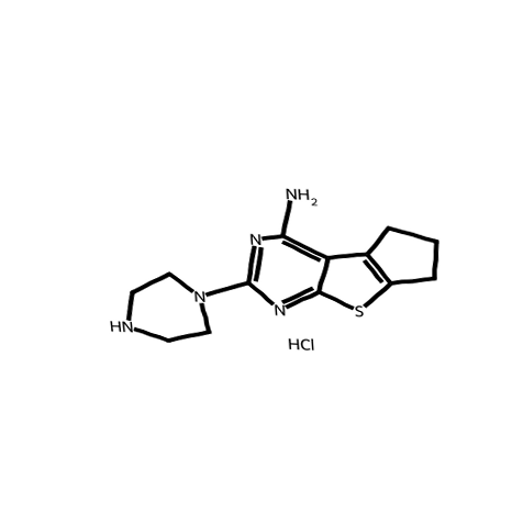 Cl.Nc1nc(N2CCNCC2)nc2sc3c(c12)CCC3